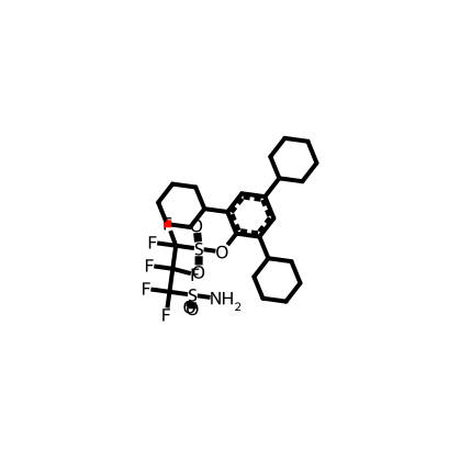 NS(=O)(=O)C(F)(F)C(F)(F)C(F)(F)S(=O)(=O)Oc1c(C2CCCCC2)cc(C2CCCCC2)cc1C1CCCCC1